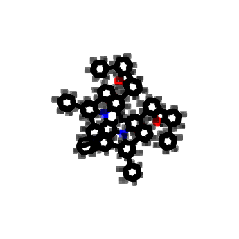 c1ccc(-c2cc(-c3ccccc3)c(N3c4ccc(-c5cccc6c5oc5c(-c7ccccc7)cccc56)cc4B4c5cc(-c6cccc7c6oc6c(-c8ccccc8)cccc67)ccc5N(c5c(-c6ccccc6)cc(-c6ccccc6)cc5-c5ccccc5)c5cc(N6C7CC8CC(C7)C6C8)cc3c54)c(-c3ccccc3)c2)cc1